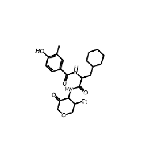 CCC1COCC(=O)C1NC(=O)C(CC1CCCCC1)NC(=O)c1ccc(O)c(C)c1